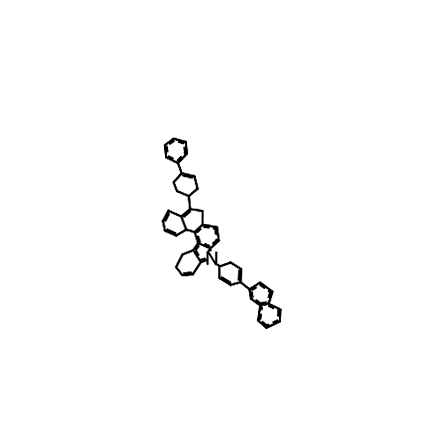 C1=CC2=C(C3CC=C(c4ccccc4)CC3)Cc3ccc4c(c5c(n4C4C=CC(c6ccc7ccccc7c6)=CC4)C=CCC5)c3C2C=C1